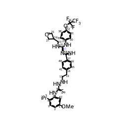 COc1ccc(C(C)C)c(NC(=S)NNCCc2ccc(C(=N)/N=C(/NCC3COC3)Nc3ccc(OC(F)(F)C(F)(F)F)cc3)cc2)c1